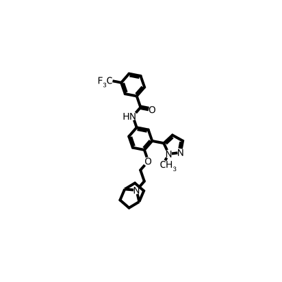 Cn1nccc1-c1cc(NC(=O)c2cccc(C(F)(F)F)c2)ccc1OCCN1C2CCC1CC2